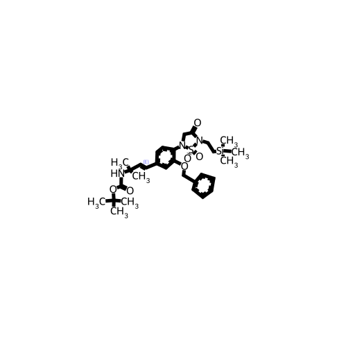 CC(C)(/C=C/c1ccc(N2CC(=O)N(CC[Si](C)(C)C)S2(=O)=O)c(OCc2ccccc2)c1)NC(=O)OC(C)(C)C